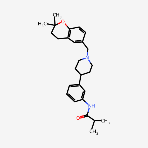 CC(C)C(=O)Nc1cccc(C2CCN(Cc3ccc4c(c3)CCC(C)(C)O4)CC2)c1